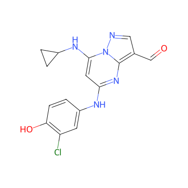 O=Cc1cnn2c(NC3CC3)cc(Nc3ccc(O)c(Cl)c3)nc12